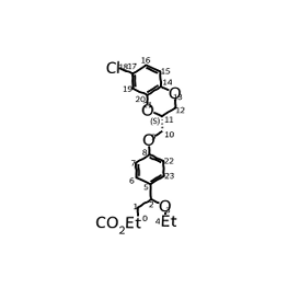 CCOC(=O)CC(OCC)c1ccc(OC[C@H]2COc3ccc(Cl)cc3O2)cc1